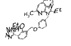 CCOc1c(COc2ccc(Cn3c(CC)nc4c(C)cc(C)nc43)cc2)cccc1-c1nnn[nH]1